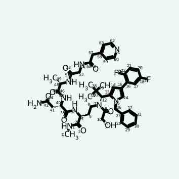 CNC(=O)[C@H](CCN(C(=O)CO)[C@@H](c1cc(-c2cc(F)ccc2F)cn1Cc1ccccc1)C(C)(C)C)NC(=O)[C@H](CC(N)=O)NC(=O)[C@H](C)NC(=O)CNC(=O)Cc1ccncc1